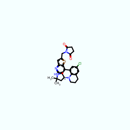 CC1(C)C[C@H](N2CCCc3cc(Cl)cc(-c4ccnc5cc(CN6C(=O)CCC6=O)sc45)c32)CN1